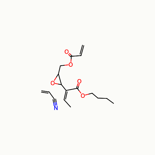 C=CC#N.C=CC(=O)OCC1OC1C(=CC)C(=O)OCCCC